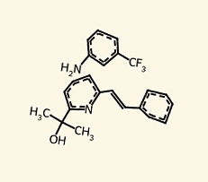 CC(C)(O)c1cccc(C=Cc2ccccc2)n1.Nc1cccc(C(F)(F)F)c1